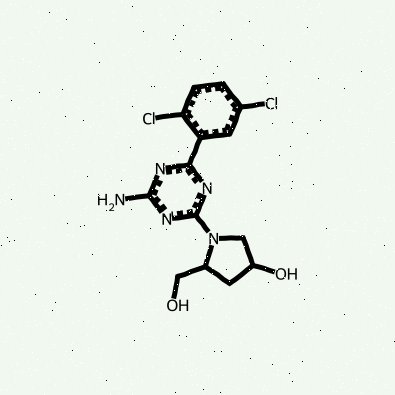 Nc1nc(-c2cc(Cl)ccc2Cl)nc(N2CC(O)CC2CO)n1